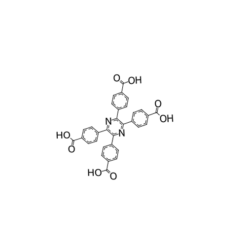 O=C(O)c1ccc(-c2nc(-c3ccc(C(=O)O)cc3)c(-c3ccc(C(=O)O)cc3)nc2-c2ccc(C(=O)O)cc2)cc1